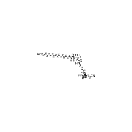 C=C(CCC(=O)NCCCCCCOP(OCCC#N)N(C(C)C)C(C)C)NC(=O)NCCCCCCCCCCCCCCCCOC(C)=O